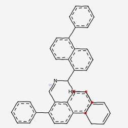 C1=CCCC(CNC(/N=C\c2c(-c3ccccc3)ccc3ccccc23)c2cccc3c(-c4ccccc4)cccc23)=C1